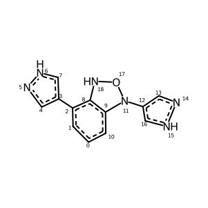 c1cc(-c2cn[nH]c2)c2c(c1)N(c1cn[nH]c1)ON2